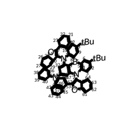 CC(C)(C)c1ccc2c(c1)B1c3cc(C(C)(C)C)ccc3N(c3c(-c4ccccc4)oc4ccccc34)c3cc(N(c4ccccc4)c4ccccc4)cc(c31)N2c1c(-c2ccccc2)oc2ccccc12